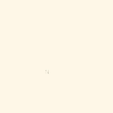 C[C@H](CCc1ccccn1)CC(=O)c1ccccc1